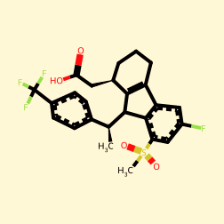 C[C@@H](c1ccc(C(F)(F)F)cc1)C1C2=C(CCC[C@@H]2CC(=O)O)c2cc(F)cc(S(C)(=O)=O)c21